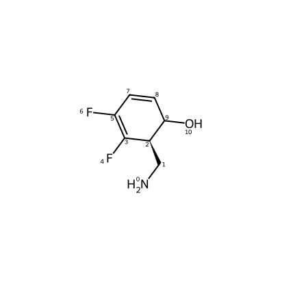 NC[C@H]1C(F)=C(F)C=CC1O